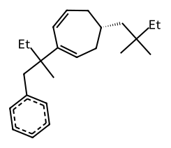 CCC(C)(C)C[C@H]1CC=CC(C(C)(CC)Cc2ccccc2)=CC1